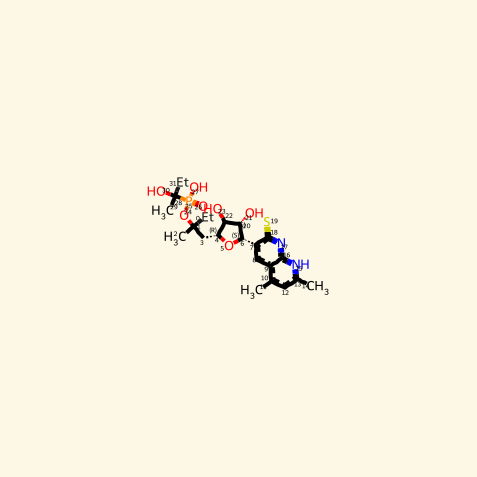 CCC(C)(C[C@H]1O[C@@H](c2cc3c(C)cc(C)[nH]c-3nc2=S)[C@@H](O)C1O)OP(=O)(O)C(C)(O)CC